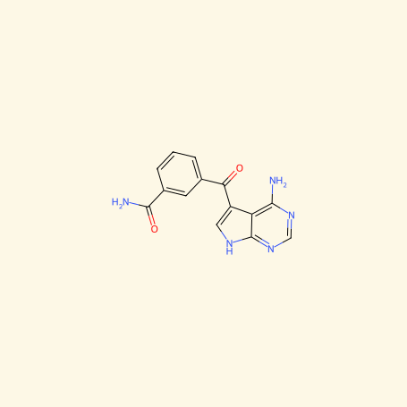 NC(=O)c1cccc(C(=O)c2c[nH]c3ncnc(N)c23)c1